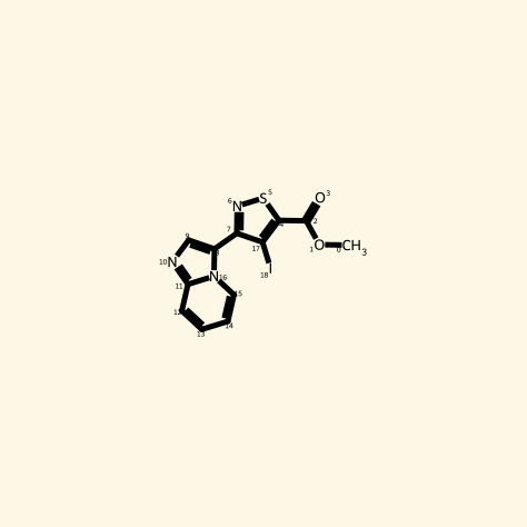 COC(=O)c1snc(-c2cnc3ccccn23)c1I